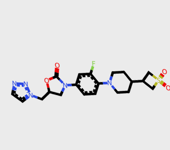 O=C1OC(Cn2ccnn2)CN1c1ccc(N2CCC(C3CS(=O)(=O)C3)CC2)c(F)c1